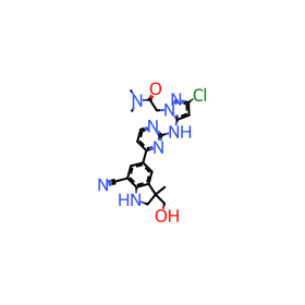 CN(C)C(=O)Cn1nc(Cl)cc1Nc1nccc(-c2cc(C#N)c3c(c2)C(C)(CO)CN3)n1